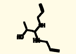 C=CCNC(NCC=C)C(C)O